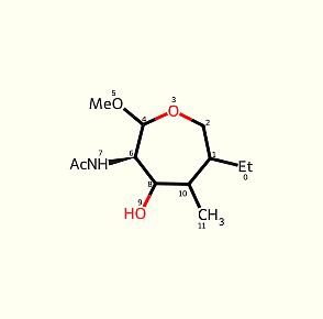 CCC1COC(OC)[C@H](NC(C)=O)C(O)C1C